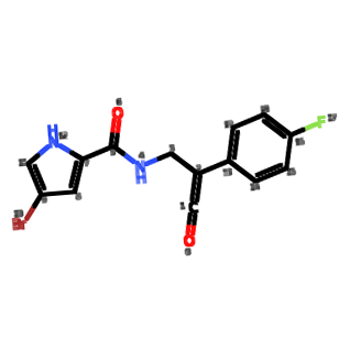 O=C=C(CNC(=O)c1cc(Br)c[nH]1)c1ccc(F)cc1